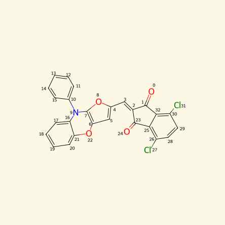 O=C1C(=Cc2cc3c(o2)N(c2ccccc2)c2ccccc2O3)C(=O)c2c(Cl)ccc(Cl)c21